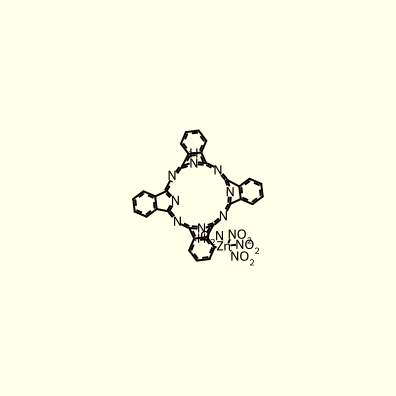 O=[N+]([O-])[Zn]([c]1cccc2c3nc4nc(nc5[nH]c(nc6nc(nc([nH]3)c12)-c1ccccc1-6)c1ccccc51)-c1ccccc1-4)([N+](=O)[O-])([N+](=O)[O-])[N+](=O)[O-]